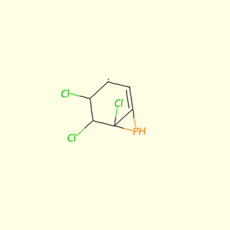 ClC1[CH]C=C2PC2(Cl)C1Cl